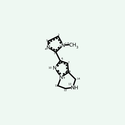 Cn1ccnc1-c1cc2n(n1)CCNC2